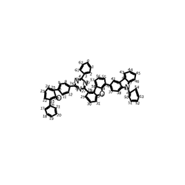 c1ccc(-c2nc(-c3ccc4c(c3)oc3c(-c5ccccc5)cccc34)nc(-c3cccc4oc5c(-c6ccc7c(c6)c6ccccc6n7-c6ccccc6)cccc5c34)n2)cc1